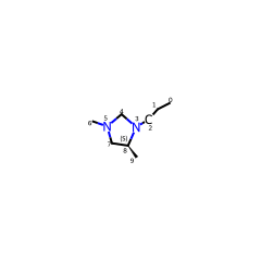 CCCN1CN(C)C[C@@H]1C